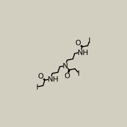 O=C(CI)NCCCN(CCCNC(=O)CI)C(=O)CI